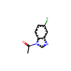 CC(=O)n1cnc2cc(F)ccc21